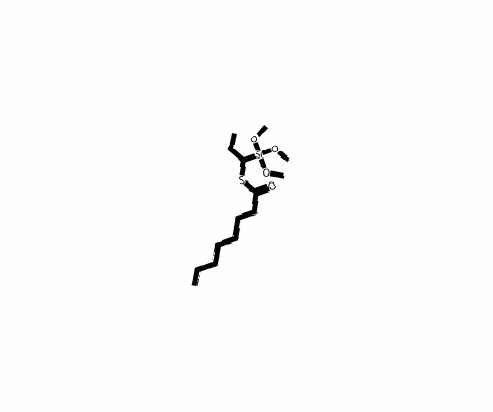 CCCCCCCC(=O)SC(CC)[Si](OC)(OC)OC